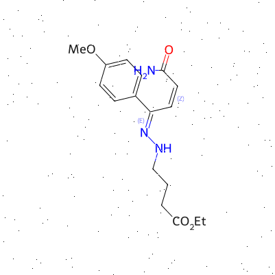 CCOC(=O)CCCN/N=C(\C=C/C(N)=O)c1ccc(OC)cc1